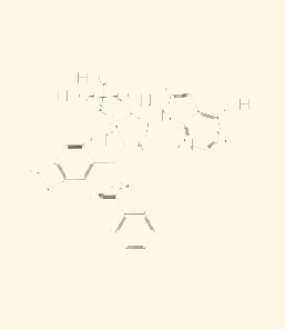 Cc1ncnc2c1ccn2[C@@H]1O[C@H]([C@H](OC(=O)c2ccccc2)c2ccc3c(c2)CC3)[C@H]2OC(C)(C)O[C@H]21